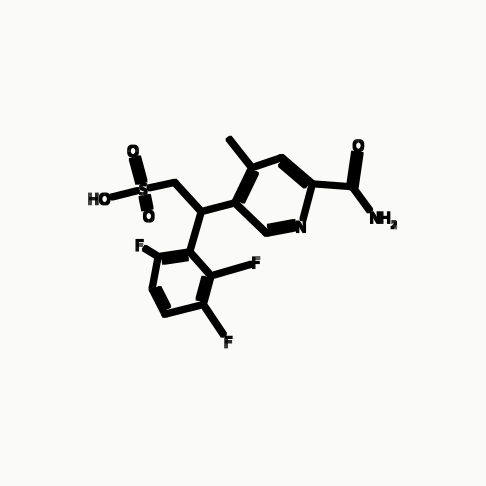 Cc1cc(C(N)=O)ncc1C(CS(=O)(=O)O)c1c(F)ccc(F)c1F